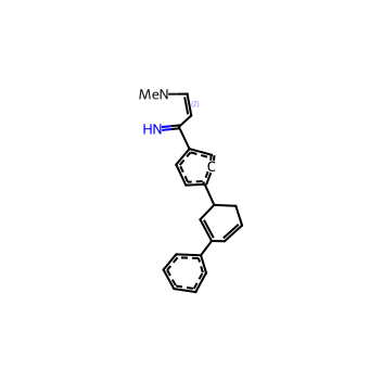 CN/C=C\C(=N)c1ccc(C2C=C(c3ccccc3)C=CC2)cc1